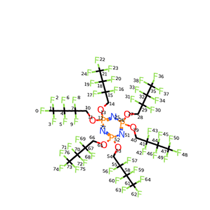 FC(F)(F)C(F)(F)C(F)(F)COP1(OCC(F)(F)C(F)(F)C(F)(F)F)=NP(OCC(F)(F)C(F)(F)C(F)(F)F)(OCC(F)(F)C(F)(F)C(F)(F)F)=NP(OCC(F)(F)C(F)(F)C(F)(F)F)(OCC(F)(F)C(F)(F)C(F)(F)F)=N1